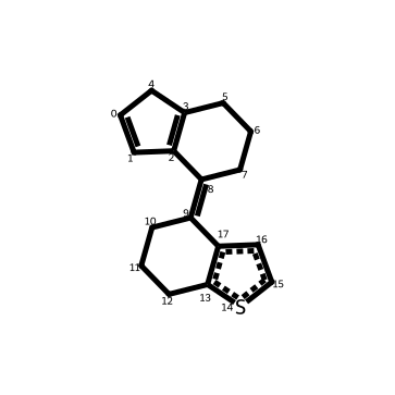 C1=CC2=C(C1)CCC/C2=C1/CCCc2sccc21